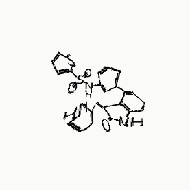 O=C1Nc2cccc(-c3cccc(NS(=O)(=O)c4cccs4)c3)c2C1=Cc1ccc[nH]1